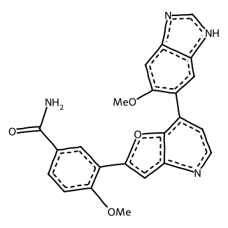 COc1ccc(C(N)=O)cc1-c1cc2nccc(-c3cc4[nH]cnc4cc3OC)c2o1